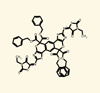 CCN1C(=O)/C(=N\c2nc3c(s2)-c2cc4c(cc2C(C(=O)OCc2ccccc2)(C(=O)OCc2ccccc2)O3)-c2sc(/N=C3/SC(=S)N(CC)C3=O)nc2OC4(C(=O)OCc2ccccc2)C(=O)OCc2ccccc2)SC1=S